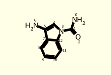 NC(=O)n1cc(N)c2ccccc21